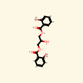 O=C(OCC(O)COC(=O)c1ccccc1Br)c1ccccc1Br